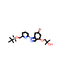 CC(C)(O)COc1cc(Br)cc2c1cnn2-c1cccc(CO[Si](C)(C)C(C)(C)C)n1